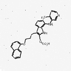 O=C(O)Oc1[nH]c2c(Nc3cnccc3C(F)(F)F)cccc2c1CCCOc1cccc2ccccc12